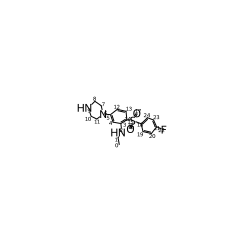 CCNc1cc(N2CCNCC2)ccc1S(=O)(=O)c1ccc(F)cc1